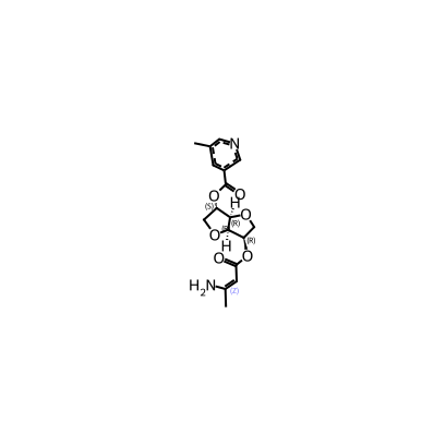 C/C(N)=C/C(=O)O[C@@H]1CO[C@H]2[C@@H]1OC[C@@H]2OC(=O)c1cncc(C)c1